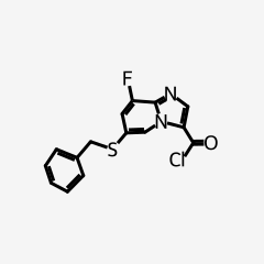 O=C(Cl)c1cnc2c(F)cc(SCc3ccccc3)cn12